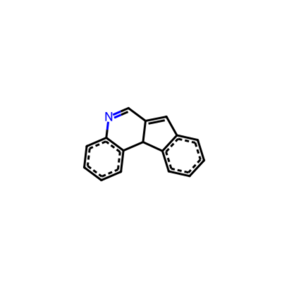 C1=Nc2ccccc2C2C1=Cc1ccccc12